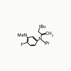 C=C(CC(C)(C)C)N(c1ccc(F)c(NC)c1)C(C)C